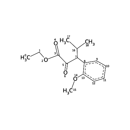 CCOC(=O)C(=O)C(c1ccccc1OC)C(C)C